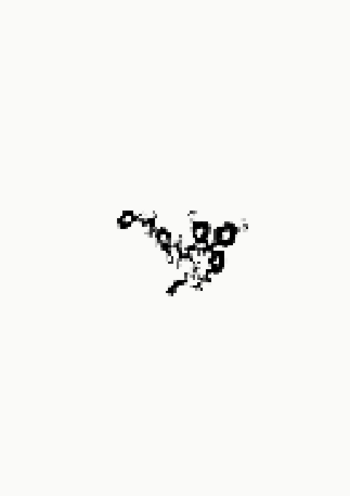 C#CCCOP(OC1C(COC(c2ccccc2)(c2ccc(OC)cc2)c2ccc(OC)cc2)OC(n2ccc(NC(=O)COc3ccccc3)nc2=O)C1F)N(C(C)C)C(C)C